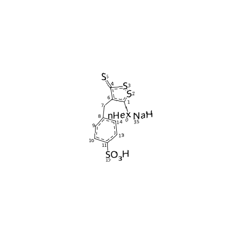 CCCCCCc1ssc(=S)c1Cc1ccc(S(=O)(=O)O)cc1.[NaH]